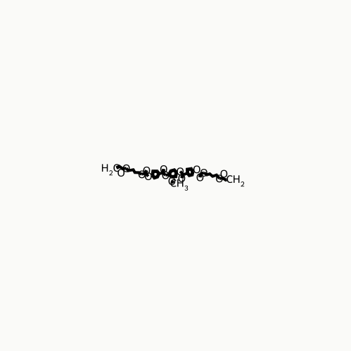 C=CC(=O)OCCCCOC(=O)Oc1ccc(C(=O)Oc2ccc(OC(=O)c3ccc(OC(=O)OCCCCOC(=O)C=C)cc3)c(OC)c2)cc1